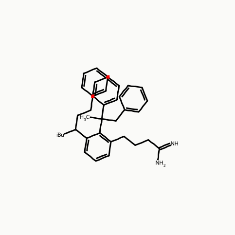 CCC(C)[C](CCc1ccccc1)c1cccc(CCCC(=N)N)c1C(C)(Cc1ccccc1)c1ccccc1